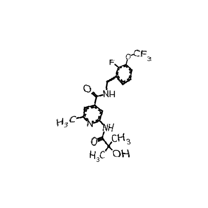 Cc1cc(C(=O)NCc2cccc(OC(F)(F)F)c2F)cc(NC(=O)C(C)(C)O)n1